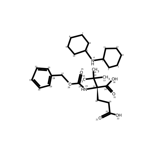 C1CCC(NC2CCCCC2)CC1.CC(C)(C)[C@@](CCC(=O)O)(NC(=O)OCc1ccccc1)C(=O)O